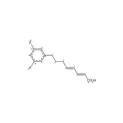 O=C(O)/C=C/C=C/CCCc1cc(F)cc(F)c1